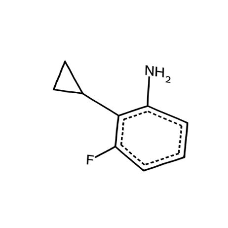 Nc1cccc(F)c1C1CC1